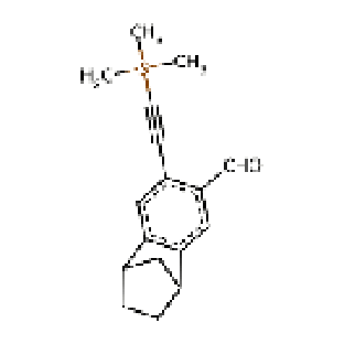 CS(C)(C)C#Cc1cc2c(cc1C=O)C1CCC2C1